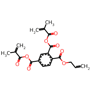 C=CCOC(=O)c1ccc(C(=O)OC(=O)C(=C)C)cc1C(=O)OC(=O)C(=C)C